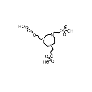 O=S(=O)(O)OCCN1CCN(CCOSOOO)CCN(CCOS(=O)(=O)O)CC1